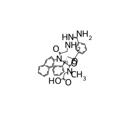 CN(CC(=O)O)C(=O)[C@@](CC(=O)c1cccc(C(=N)N)c1)(c1ccccc1)N(C(=O)CN)c1ccc2ccccc2c1